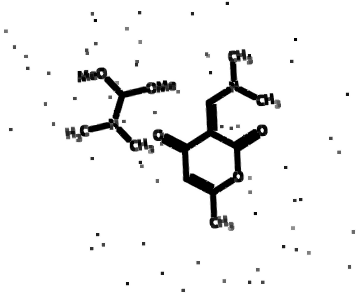 CC1=CC(=O)C(=CN(C)C)C(=O)O1.COC(OC)N(C)C